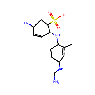 CC1=CC(NCN)CCC1N[C@@H]1C=CC(N)CC1S(=O)(=O)O